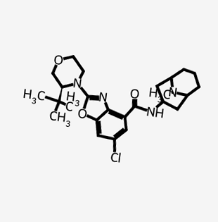 CN1C2CCCC1CC(NC(=O)c1cc(Cl)cc3oc(N4CCOC[C@@H]4C(C)(C)C)nc13)C2